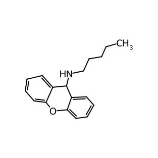 CCCCCNC1c2ccccc2Oc2ccccc21